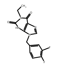 CCn1c(=O)[nH]c2c(ncn2Cc2ccc(F)c(F)c2)c1=O